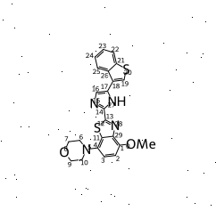 COc1ccc(N2CCOCC2)c2sc(-c3ncc(-c4csc5ccccc45)[nH]3)nc12